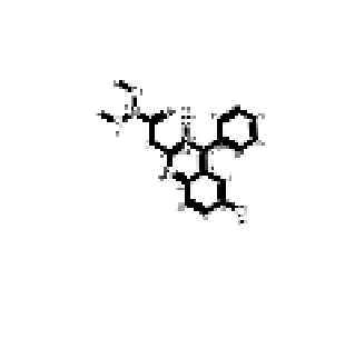 CSN(SC)C(=S)Cc1nc2ccc(Cl)cc2c(-c2ccccc2)[n+]1[O-]